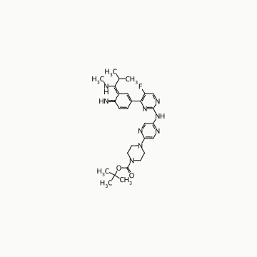 CN/C(=C1/C=C(c2nc(Nc3cnc(N4CCN(C(=O)OC(C)(C)C)CC4)cn3)ncc2F)C=CC1=N)C(C)C